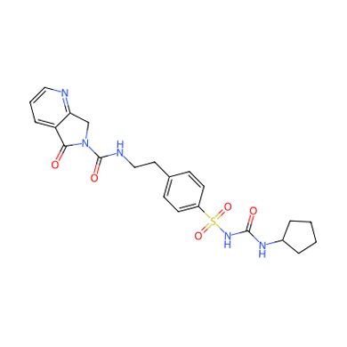 O=C(NC1CCCC1)NS(=O)(=O)c1ccc(CCNC(=O)N2Cc3ncccc3C2=O)cc1